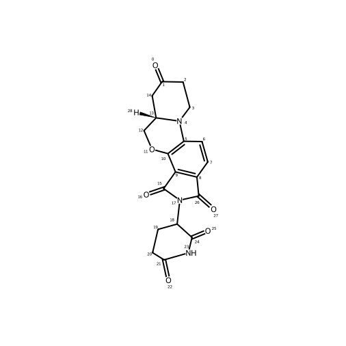 O=C1CCN2c3ccc4c(c3OC[C@@H]2C1)C(=O)N(C1CCC(=O)NC1=O)C4=O